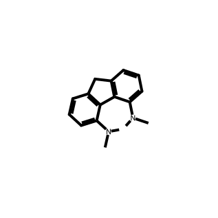 CN(C)c1cccc2c1-c1c(cccc1N(C)C)C2